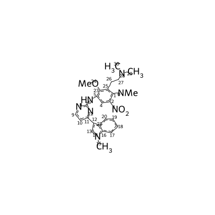 CNc1c([N+](=O)[O-])cc(Nc2nccc(-c3cn(C)c4ccccc34)n2)c(OC)c1CCN(C)C